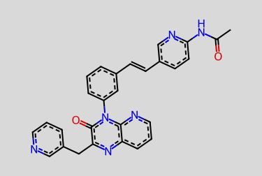 CC(=O)Nc1ccc(C=Cc2cccc(-n3c(=O)c(Cc4cccnc4)nc4cccnc43)c2)cn1